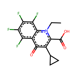 CCn1c(C(=O)O)c(C2CC2)c(=O)c2c(F)c(F)c(F)c(F)c21